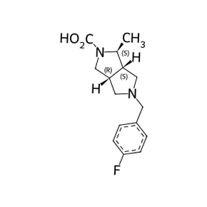 C[C@H]1[C@@H]2CN(Cc3ccc(F)cc3)C[C@@H]2CN1C(=O)O